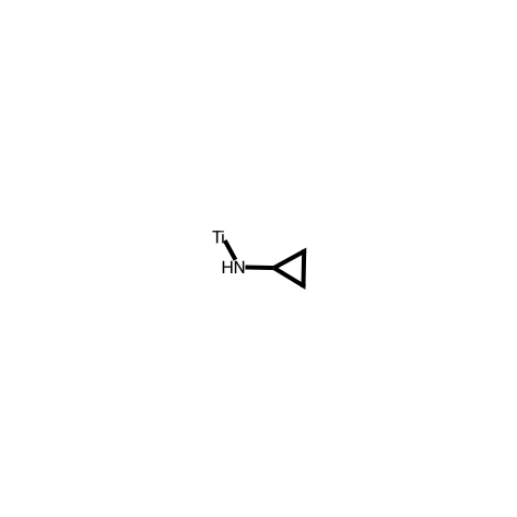 [Ti][NH]C1CC1